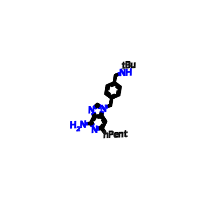 CCCCCc1cc2c(ncn2Cc2ccc(CNC(C)(C)C)cc2)c(N)n1